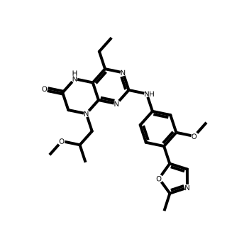 CCc1nc(Nc2ccc(-c3cnc(C)o3)c(OC)c2)nc2c1NC(=O)CN2CC(C)OC